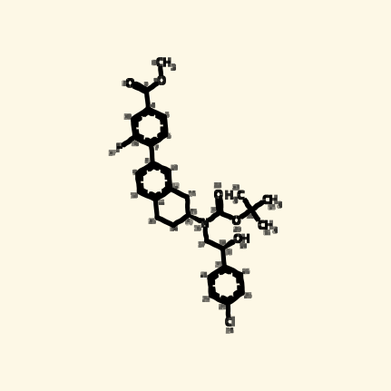 COC(=O)c1ccc(-c2ccc3c(c2)C[C@@H](N(C[C@@H](O)c2ccc(Cl)cc2)C(=O)OC(C)(C)C)CC3)c(F)c1